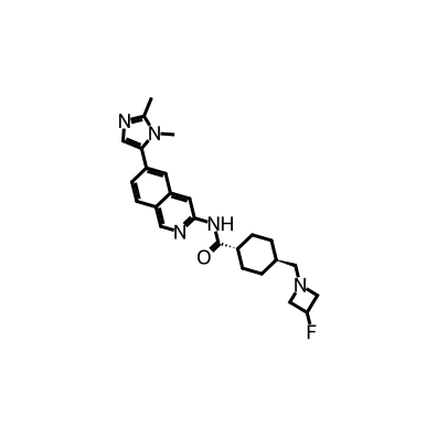 Cc1ncc(-c2ccc3cnc(NC(=O)[C@H]4CC[C@H](CN5CC(F)C5)CC4)cc3c2)n1C